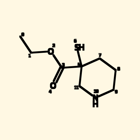 CCOC(=O)C1(S)CCCNC1